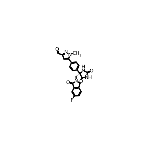 Cn1nc(C=O)cc1-c1ccc([C@@]2(CN3Cc4ccc(F)cc4C3=O)NC(=O)NC2=O)cc1